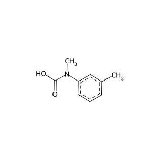 Cc1cccc(N(C)C(=O)O)c1